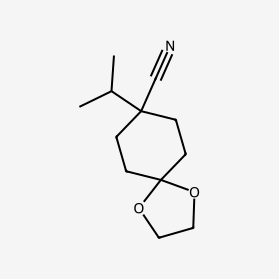 CC(C)C1(C#N)CCC2(CC1)OCCO2